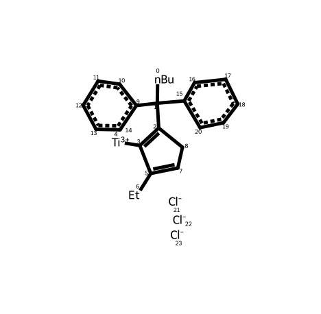 CCCCC(C1=[C]([Ti+3])C(CC)=CC1)(c1ccccc1)c1ccccc1.[Cl-].[Cl-].[Cl-]